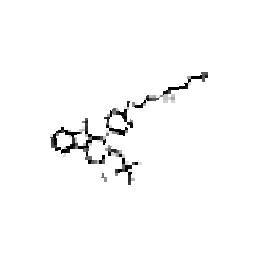 C[C@@H]1Cc2c([nH]c3ccccc23)[C@H](c2cnc(OCCNCCCF)cn2)N1CC(C)(C)F